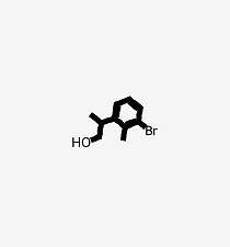 C[C](CO)c1cccc(Br)c1C